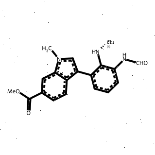 CC[C@@H](C)Nc1c(NC=O)cccc1-c1cn(C)c2cc(C(=O)OC)ccc12